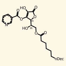 CCCCCCCCCCCCCCCC(=O)OC[C@@H](O)[C@@H]1OC(=O)C(O)=C1OC(=O)c1cccnc1